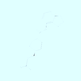 N=C(N)NC[C@H]1CC[C@H](C(=O)Nc2ccnc3[nH]ccc23)CC1